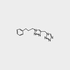 c1ccc(CCCn2cc(Cn3cnnn3)nn2)cc1